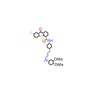 COc1ccc(N(C)CCCCc2ccc(NC(=O)c3cccc4c(=O)c5cc(F)ccc5sc34)cc2)cc1OC